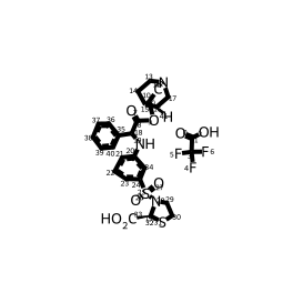 O=C(O)C(F)(F)F.O=C(O[C@H]1CN2CCC1CC2)C(Nc1cccc(S(=O)(=O)N2CCS[C@H]2C(=O)O)c1)c1ccccc1